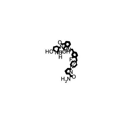 NC(=O)c1cccc(N2CCN(Cc3ccc(CNc4cccc5c4C(O)N(C4CCC(O)NC4O)C5=O)cc3F)CC2)n1